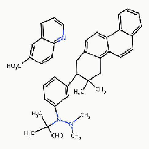 CN(C)N(c1cccc(C2Cc3ccc4c(ccc5ccccc54)c3CC2(C)C)c1)C(C)(C)C=O.O=C(O)c1ccc2ncccc2c1